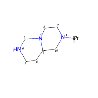 CC(C)N1CCN2CNCCC2C1